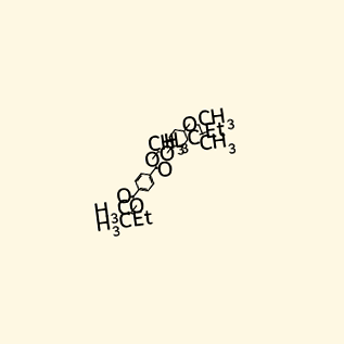 CCC(C)(C)OC(=O)c1ccc(C(=O)OC(C)OC2CCC(OC(C)C(C)(C)CC)CC2)cc1